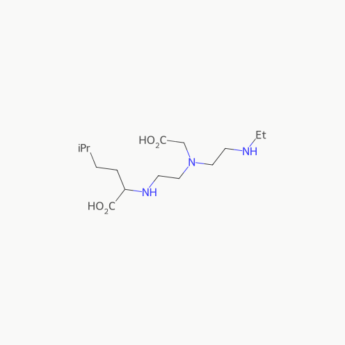 CCNCCN(CCNC(CCC(C)C)C(=O)O)CC(=O)O